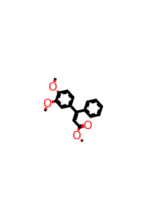 COC(=O)/C=C(\c1ccccc1)c1ccc(OC)c(OC)c1